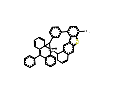 Cc1ccc(-c2cccc(C3[C@@H]4c5ccccc5C(c5ccccc5)=C5C=CC=CC534)c2)c2c1sc1cc3c(cc12)C(C)CC=C3